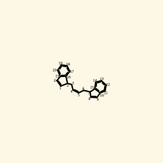 C1=CC(C/C=C\CC2C=Cc3ccccc32)c2ccccc21